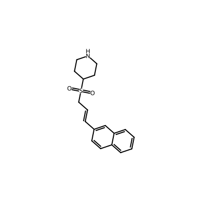 O=S(=O)(CC=Cc1ccc2ccccc2c1)C1CCNCC1